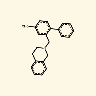 O=Cc1ccc(-c2ccccc2)c(CN2CCc3ccccc3C2)c1